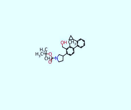 Cc1c(-c2ccccc2C2CC2)ccc(C2CCN(C(=O)OC(C)(C)C)C2)c1CO